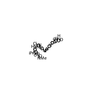 CNC(=O)COc1cc2cc(Nc3nc(N4CCC(N5CCC56CN(C5CCN(c7ccc8c(c7)CN(C7CCC(=O)NC7=O)C8=O)CC5)C6)CC4)ncc3Cl)ccc2n(C(C)C)c1=O